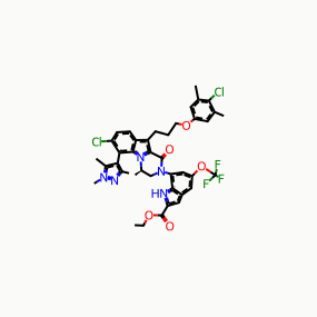 CCOC(=O)c1cc2cc(OC(F)(F)F)cc(N3C[C@@H](C)n4c(c(CCCOc5cc(C)c(Cl)c(C)c5)c5ccc(Cl)c(-c6c(C)nn(C)c6C)c54)C3=O)c2[nH]1